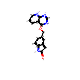 O=C1C=c2cc(COc3ncnc4ncccc34)ccc2=N1